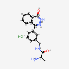 CC(N)C(=O)NCc1cccc(-c2n[nH]c(=O)c3ccccc23)c1.Cl